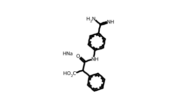 N=C(N)c1ccc(NC(=O)C(C(=O)O)c2ccccc2)cc1.[NaH]